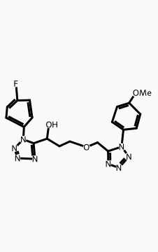 COc1ccc(-n2nnnc2COCCC(O)c2nnnn2-c2ccc(F)cc2)cc1